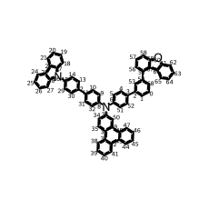 c1cc(-c2ccc(N(c3ccc(-c4ccc(-n5c6ccccc6c6ccccc65)cc4)cc3)c3ccc4c5ccccc5c5ccccc5c4c3)cc2)cc(-c2cccc3oc4ccccc4c23)c1